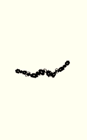 CC(C)(c1ccccc1)c1ccc(OC(=O)c2cccc(C(C)(C)c3ccc(Oc4ccc(C(C)(C)c5cccc(C(=O)Oc6ccc(C(C)(C)c7ccccc7)cc6)c5)cc4)cc3)c2)cc1